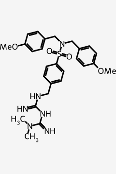 COc1ccc(CN(Cc2ccc(OC)cc2)S(=O)(=O)c2ccc(CNC(=N)NC(=N)N(C)C)cc2)cc1